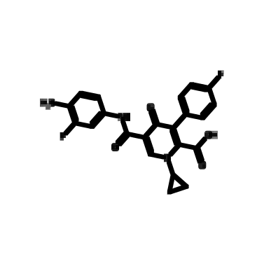 Bc1ccc(NC(=O)c2cn(C3CC3)c(C(=O)O)c(-c3ccc(F)cc3)c2=O)cc1F